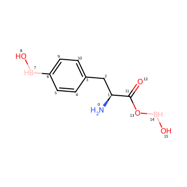 N[C@@H](Cc1ccc(BO)cc1)C(=O)OBO